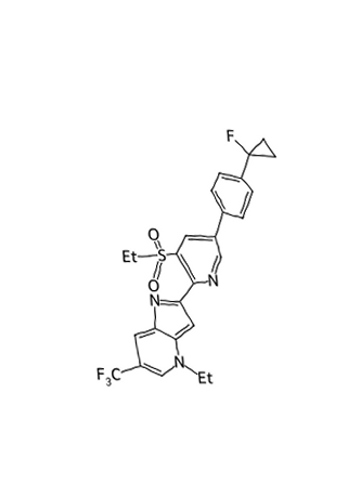 CCn1cc(C(F)(F)F)cc2nc(-c3ncc(-c4ccc(C5(F)CC5)cc4)cc3S(=O)(=O)CC)cc1-2